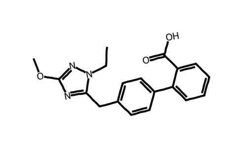 CCn1nc(OC)nc1Cc1ccc(-c2ccccc2C(=O)O)cc1